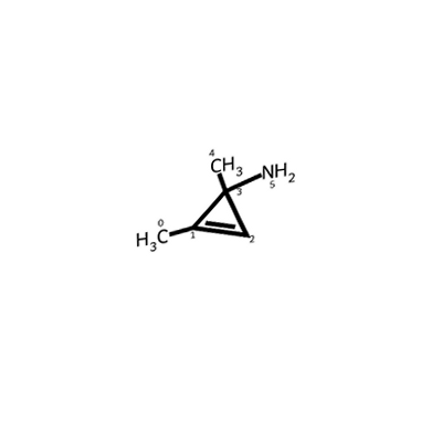 CC1=CC1(C)N